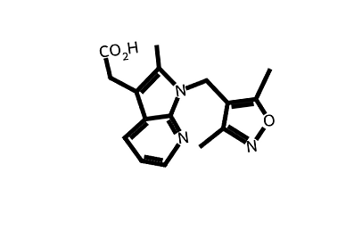 Cc1noc(C)c1Cn1c(C)c(CC(=O)O)c2cccnc21